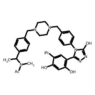 CC(=O)N(C)C(C)c1ccc(CN2CCN(Cc3ccc(-n4c(O)nnc4-c4cc(C(C)C)c(O)cc4O)cc3)CC2)cc1